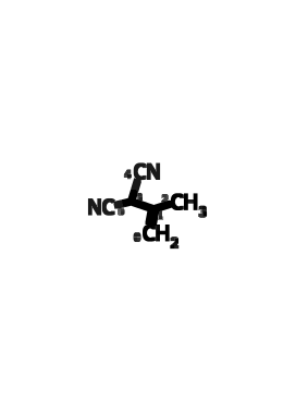 C=C(C)C(C#N)C#N